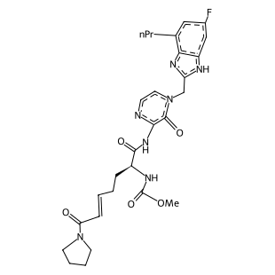 CCCc1cc(F)cc2[nH]c(Cn3ccnc(NC(=O)[C@H](CC/C=C/C(=O)N4CCCC4)NC(=O)OC)c3=O)nc12